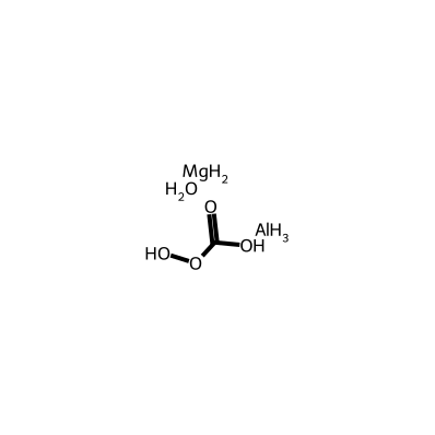 O.O=C(O)OO.[AlH3].[MgH2]